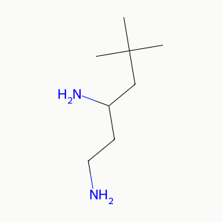 CC(C)(C)CC(N)CCN